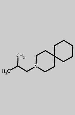 CC(C)CN1CCC2(CCCCC2)CC1